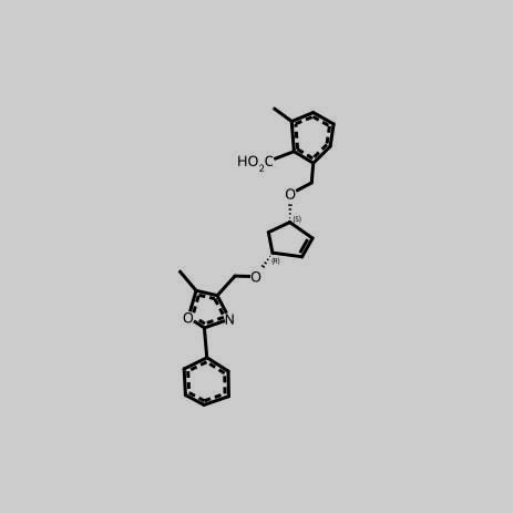 Cc1cccc(CO[C@@H]2C=C[C@H](OCc3nc(-c4ccccc4)oc3C)C2)c1C(=O)O